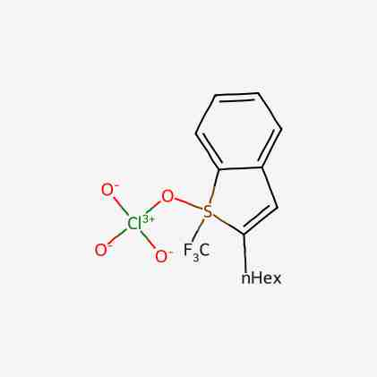 CCCCCCC1=Cc2ccccc2S1(O[Cl+3]([O-])([O-])[O-])C(F)(F)F